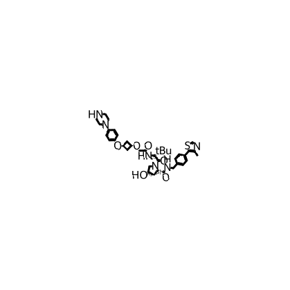 Cc1ncsc1-c1ccc(CNC(=O)[C@@H]2C[C@@H](O)CN2C(=O)[C@@H](NC(=O)CO[C@H]2C[C@H](Oc3ccc(N4CCNCC4)cc3)C2)C(C)(C)C)cc1